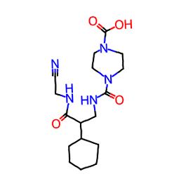 N#CCNC(=O)C(CNC(=O)N1CCN(C(=O)O)CC1)C1CCCCC1